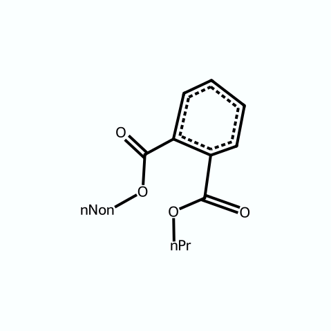 CCCCCCCCCOC(=O)c1ccccc1C(=O)OCCC